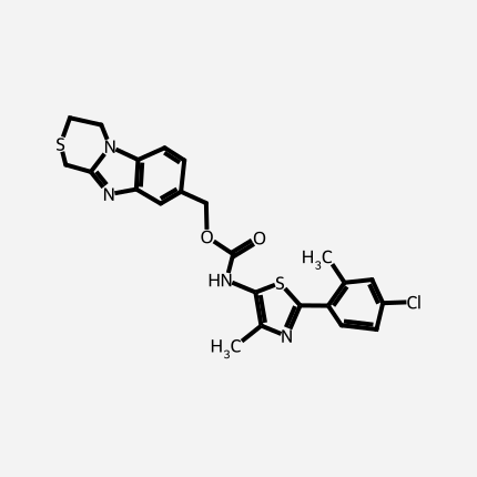 Cc1cc(Cl)ccc1-c1nc(C)c(NC(=O)OCc2ccc3c(c2)nc2n3CCSC2)s1